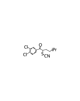 CC(C)CCC(SC#N)C(=O)c1ccc(Cl)c(Cl)c1